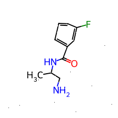 CC(CN)NC(=O)c1cccc(F)c1